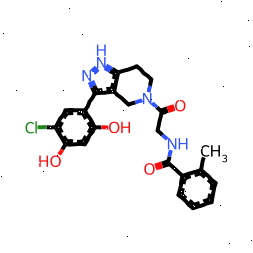 Cc1ccccc1C(=O)NCC(=O)N1CCc2[nH]nc(-c3cc(Cl)c(O)cc3O)c2C1